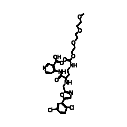 COCCOCCOCCOC(=O)NCCC(NCc1ncc(-c2cc(Cl)ccc2Cl)o1)C(=O)Nc1ccncc1C(=O)O